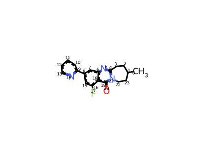 CC1CCc2nc3cc(-c4ccccn4)cc(F)c3c(=O)n2CC1